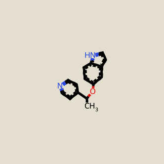 CC(Oc1ccc2[nH]ccc2c1)c1ccncc1